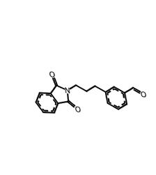 O=Cc1cccc(CCCN2C(=O)c3ccccc3C2=O)c1